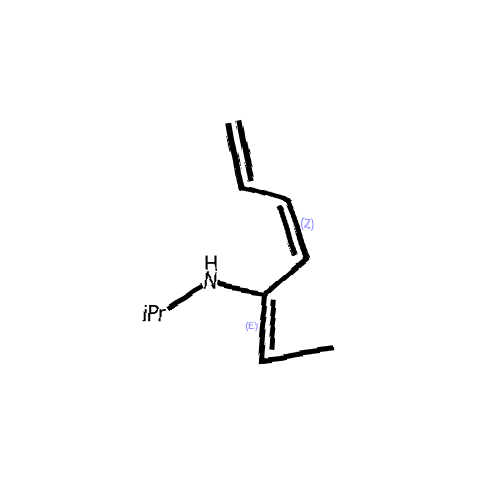 C=C/C=C\C(=C/C)NC(C)C